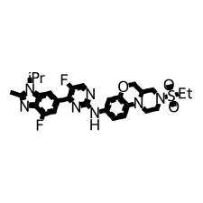 CCS(=O)(=O)N1CCN2c3ccc(Nc4ncc(F)c(-c5cc(F)c6nc(C)n(C(C)C)c6c5)n4)cc3OCC2C1